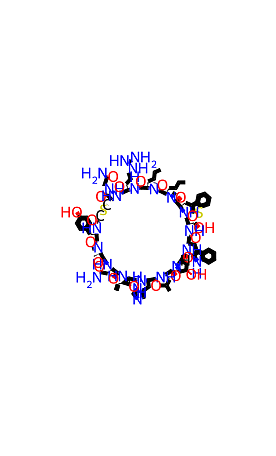 C=C[C@H]1C[C@]12NC(=O)[C@H](CC(N)=O)NC(=O)[C@H](C)N(C)C(=O)[C@H](Cc1ccc(O)cc1)NC(=O)CSCC(C(=O)NCC(N)=O)NC(=O)[C@H](CCCNC(=N)N)NC(=O)[C@H](CCCC)N(C)C(=O)[C@H](CCCC)N(C)C(=O)[C@H](Cc1csc3ccccc13)NC(=O)[C@H](CO)NC(=O)C(Cc1c[nH]c3ccccc13)NC(=O)[C@@H]1C[C@@H](O)CN1C(=O)[C@H](CC(C)C)NC(=O)C(Cc1cnc[nH]1)NC2=O